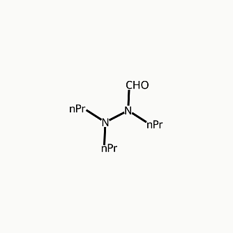 CCCN(C=O)N(CCC)CCC